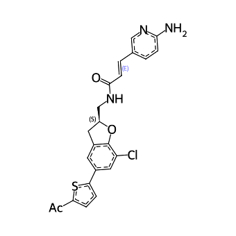 CC(=O)c1ccc(-c2cc(Cl)c3c(c2)C[C@@H](CNC(=O)/C=C/c2ccc(N)nc2)O3)s1